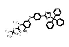 CN(C(=O)OC(C)(C)C)c1cc(Oc2ccc(-c3nnn(C(c4ccccc4)(c4ccccc4)c4ccccc4)n3)cc2)ccc1N